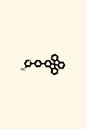 N#Cc1ccnc(-c2ccc(-c3ccc4c(c3)-c3ccccc3C43c4ccccc4-c4ccccc43)cc2)c1